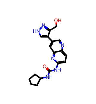 O=C(Nc1ccc2ncc(-c3c[nH]nc3CO)cc2n1)NC1CCCC1